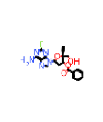 C#CC1(CO)OC(n2cnc3c(N)nc(F)nc32)CC1OC(=O)c1ccccc1